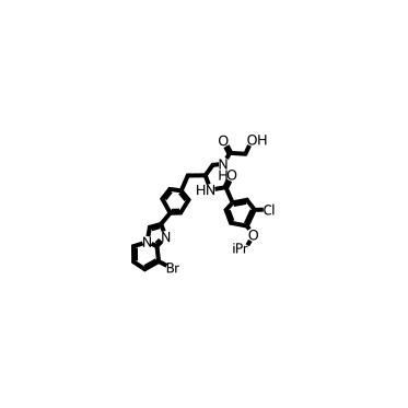 CC(C)Oc1ccc(C(=O)NC(CNC(=O)CO)Cc2ccc(-c3cn4cccc(Br)c4n3)cc2)cc1Cl